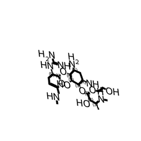 CNCC1=CC[C@@H](NC(=N)N)[C@@H](O[C@H]2[C@H](O)[C@@H](O[C@@H](OCCO)[C@H](O)[C@H](C)NC)[C@H](N)C[C@@H]2N)O1